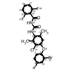 Cc1cc(Oc2ccc(F)cc2Br)c(Cl)c(C)c1NC(=O)NC(=O)c1c(F)cccc1F